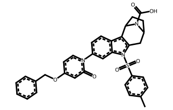 Cc1ccc(S(=O)(=O)n2c3c(c4ccc(-n5ccc(OCc6ccccc6)cc5=O)cc42)C2CCC(C3)N2C(=O)O)cc1